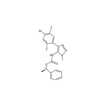 C[C@@H](OC(=O)Nc1c(-c2cc(F)c(Br)cc2F)nnn1C)c1ccccc1